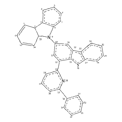 C1=CC2c3ccccc3N(c3cc(-c4cccc(-c5ccccc5)n4)c4sc5ccccc5c4c3)C2C=C1